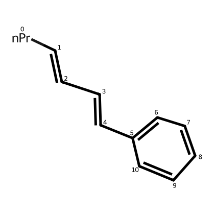 CCC/C=C/C=C/c1ccccc1